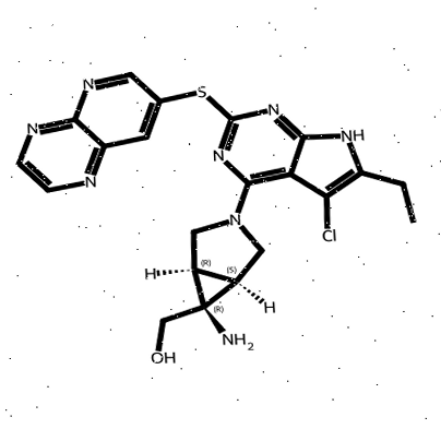 CCc1[nH]c2nc(Sc3cnc4nccnc4c3)nc(N3C[C@@H]4[C@H](C3)[C@@]4(N)CO)c2c1Cl